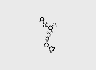 Cc1ccccc1CC(=O)Nc1cc(NC(=O)[N-]c2c[n+]([C@H]3CCC[C@@H](c4cncnc4)C3)no2)cc(C(F)(F)F)c1